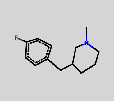 CN1CCCC(Cc2ccc(F)cc2)C1